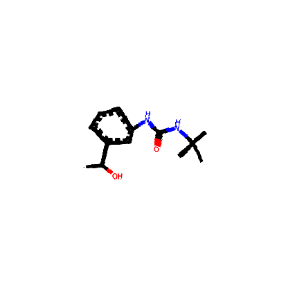 [CH2]C(O)c1cccc(NC(=O)NC(C)(C)C)c1